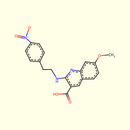 COc1ccc2cc(C(=O)O)c(NCCc3ccc([N+](=O)[O-])cc3)nc2c1